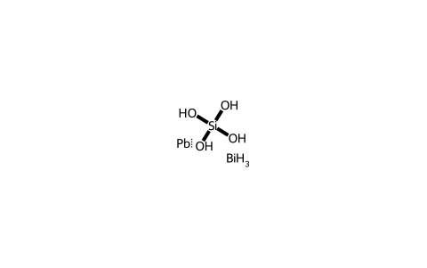 O[Si](O)(O)O.[BiH3].[Pb]